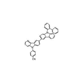 N#Cc1ccc(-n2c3ccc(-c4ccc5c(c4)c4ccccc4n5-c4ccccc4-c4ccccc4)cc3c3ncccc32)cc1